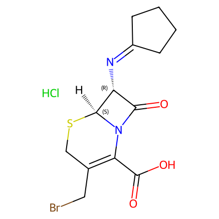 Cl.O=C(O)C1=C(CBr)CS[C@H]2[C@H](N=C3CCCC3)C(=O)N12